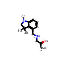 CCN1CC(CC)(CC)c2c(CNCC(=O)NC)cccc21